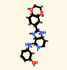 Oc1cccc(Nc2nccc3[nH]c(-c4ccc5c(c4)OCCO5)nc23)c1